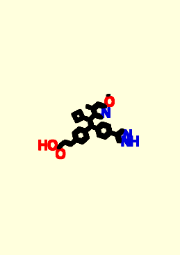 COc1cc(C)c(C(=C(c2ccc(C=CC(=O)O)cc2)c2ccc(-c3cn[nH]c3)cc2)C2CCC2)cn1